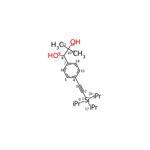 CC(C)[Si](C#Cc1ccc(C(O)C(C)(C)O)cc1)(C(C)C)C(C)C